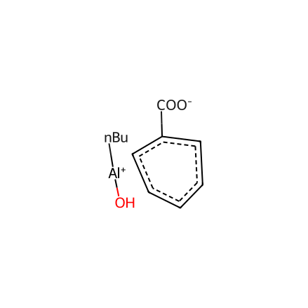 CCC[CH2][Al+][OH].O=C([O-])c1ccccc1